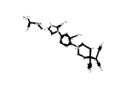 CC(=S)NC[C@H]1CN(c2ccc(N3CCC(C#N)(C(C#N)C#N)CC3)c(F)c2)C(=O)O1